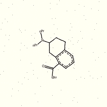 CCCN(CCC)C1CCc2cccc(C(=O)C(C)(C)C)c2C1